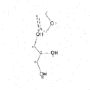 C=C.COC.OCC(O)CO